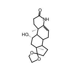 C[C@]12CCC(=O)NC1=CCC1C2[C@@H](O)C[C@@]2(C)C1CCC21OCCO1